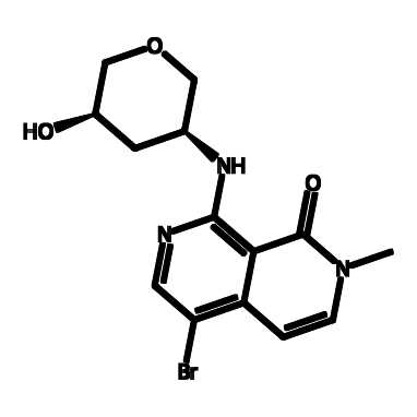 Cn1ccc2c(Br)cnc(N[C@@H]3COC[C@H](O)C3)c2c1=O